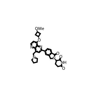 CO[C@H]1C[C@@H](Oc2ccnc3c(CN4CCCC4)cc(-c4ccc5c(c4)CN(C4CCC(=O)NC4=O)C5=O)nc23)C1